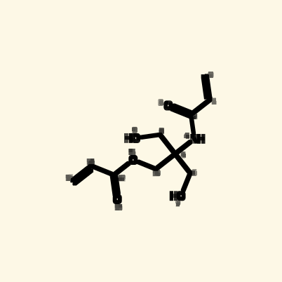 C=CC(=O)NC(CO)(CO)COC(=O)C=C